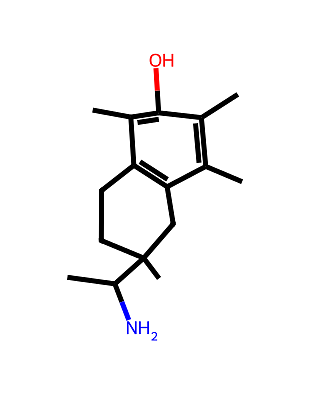 Cc1c(C)c2c(c(C)c1O)CCC(C)(C(C)N)C2